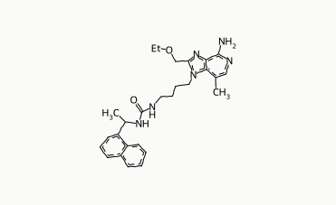 CCOCc1nc2c(N)ncc(C)c2n1CCCCNC(=O)NC(C)c1cccc2ccccc12